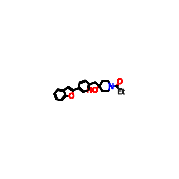 CCC(=O)N1CCC(O)(Cc2ccc(-c3cc4ccccc4o3)cc2)CC1